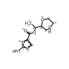 CCCc1ncc(C(=O)OC(C)C2CNCCO2)s1